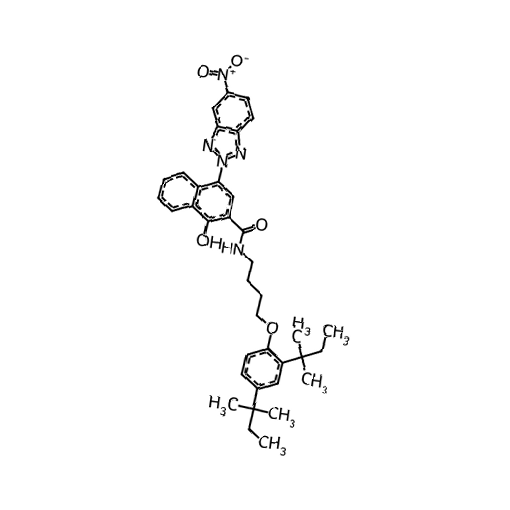 CCC(C)(C)c1ccc(OCCCCNC(=O)c2cc(-n3nc4ccc([N+](=O)[O-])cc4n3)c3ccccc3c2O)c(C(C)(C)CC)c1